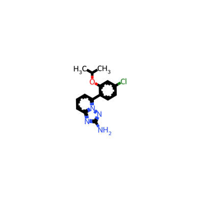 CC(C)Oc1cc(Cl)ccc1-c1cccc2nc(N)nn12